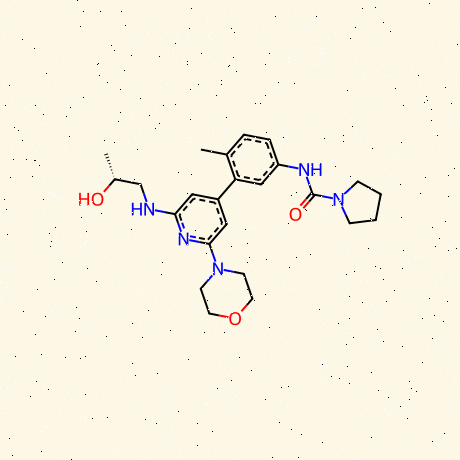 Cc1ccc(NC(=O)N2CCCC2)cc1-c1cc(NC[C@@H](C)O)nc(N2CCOCC2)c1